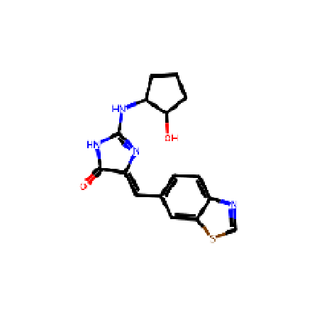 O=C1NC(NC2CCCC2O)=N/C1=C\c1ccc2ncsc2c1